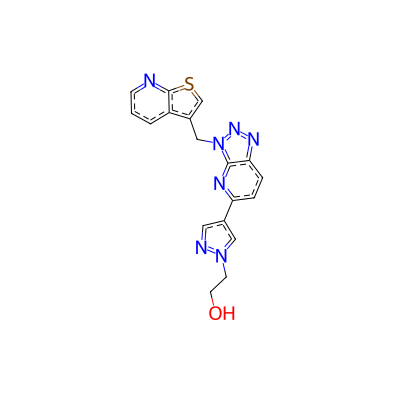 OCCn1cc(-c2ccc3nnn(Cc4csc5ncccc45)c3n2)cn1